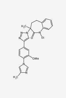 CCN1C(=O)C(C)(n2cc(-c3ccc(-n4cnc(C)c4)c(OC)c3)nn2)CCc2ccccc21